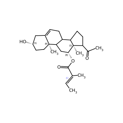 C/C=C(\C)C(=O)O[C@@H]1CC2C(CC=C3C[C@@H](O)CC[C@@]32C)C2CCC(C(C)=O)[C@]21C